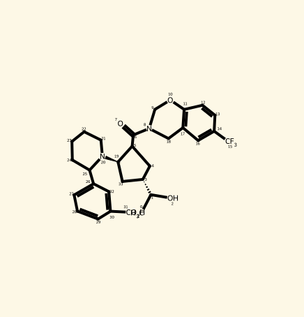 CC(O)[C@H]1CC(C(=O)N2COc3ccc(C(F)(F)F)cc3C2)[C@H](N2CCCCC2c2cccc(C(=O)O)c2)C1